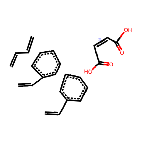 C=CC=C.C=Cc1ccccc1.C=Cc1ccccc1.O=C(O)/C=C\C(=O)O